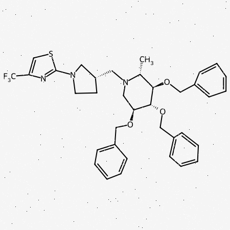 C[C@@H]1[C@@H](OCc2ccccc2)[C@H](OCc2ccccc2)[C@@H](OCc2ccccc2)CN1C[C@@H]1CCN(c2nc(C(F)(F)F)cs2)C1